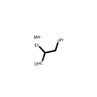 CCCCC(C=O)CC.[Mo]